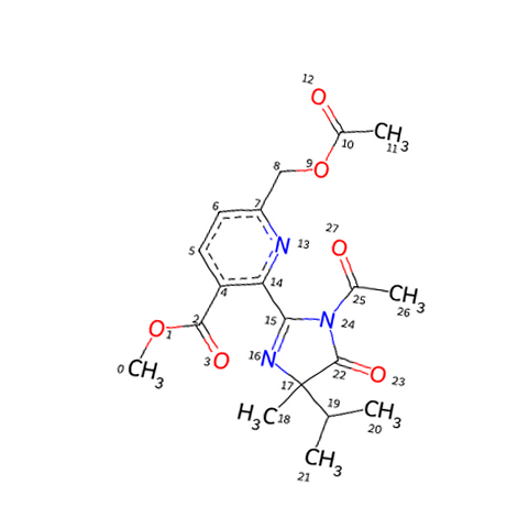 COC(=O)c1ccc(COC(C)=O)nc1C1=NC(C)(C(C)C)C(=O)N1C(C)=O